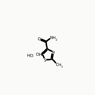 Cc1nc(C(N)=O)cs1.Cl.Cl